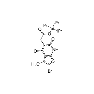 Cc1c(Br)sc2[nH]c(=O)n(CC(=O)O[Si](C(C)C)(C(C)C)C(C)C)c(=O)c12